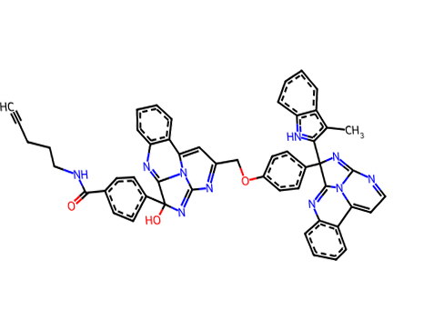 C#CCCCNC(=O)c1ccc(C2(O)N=C3N=C(COc4ccc(C5(c6[nH]c7ccccc7c6C)N=C6N=CC=C7c8ccccc8N=C5N76)cc4)C=C4c5ccccc5N=C2N43)cc1